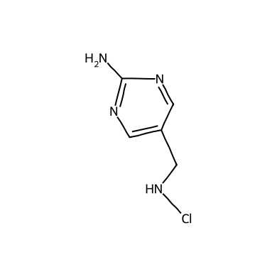 Nc1ncc(CNCl)cn1